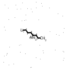 [AlH3].[Li][CH2]CCCCCC